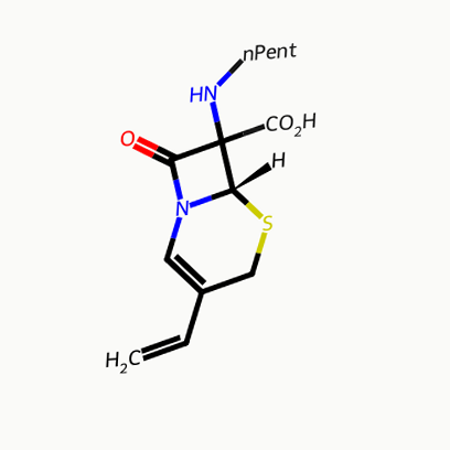 C=CC1=CN2C(=O)C(NCCCCC)(C(=O)O)[C@@H]2SC1